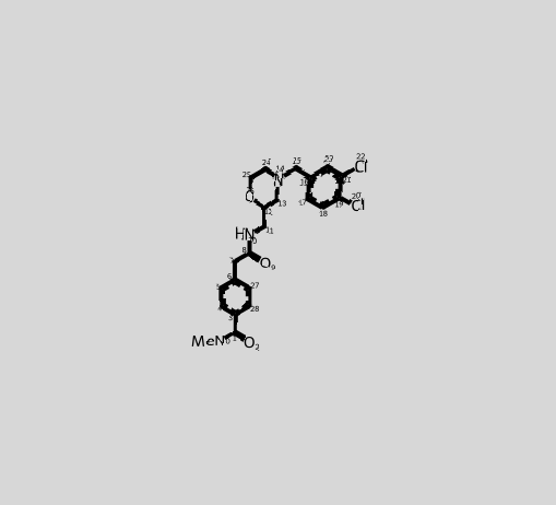 CNC(=O)c1ccc(CC(=O)NCC2CN(Cc3ccc(Cl)c(Cl)c3)CCO2)cc1